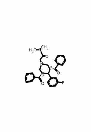 CN(C)C(=O)CN1C[C@H](C(=O)c2ccccc2)C(c2cccc(F)c2)[C@@H](C(=O)c2ccccc2)C1